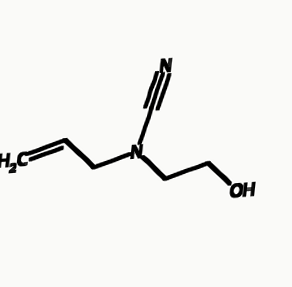 C=CCN(C#N)CCO